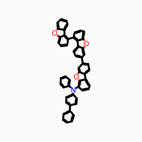 c1ccc(-c2ccc(N(c3ccccc3)c3cccc4c3oc3cc(-c5ccc6c(c5)oc5cccc(-c7cccc8oc9ccccc9c78)c56)ccc34)cc2)cc1